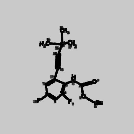 CC(C)(C)OC(=O)Nc1c(F)cc(F)cc1C#C[Si](C)(C)C